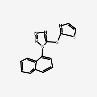 c1ccc2c(-n3nnnc3Sc3nccs3)cccc2c1